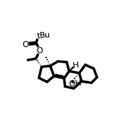 CC(OC(=O)C(C)(C)C)[C@H]1CCC2=C3CCC4CCCC[C@]4(CO)[C@H]3CC[C@@]21C